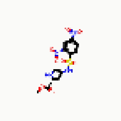 COC(=O)[C@@H]1C[C@H](NS(=O)(=O)c2ccc([N+](=O)[O-])cc2[N+](=O)[O-])CN1